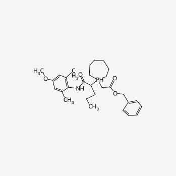 CCCC(C(=O)Nc1c(C)cc(OC)cc1C)[PH]1(CC(=O)OCc2ccccc2)CCCCCC1